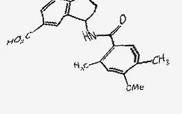 COc1cc(C)c(C(=O)NC2CCc3ccc(C(=O)O)cc32)cc1C